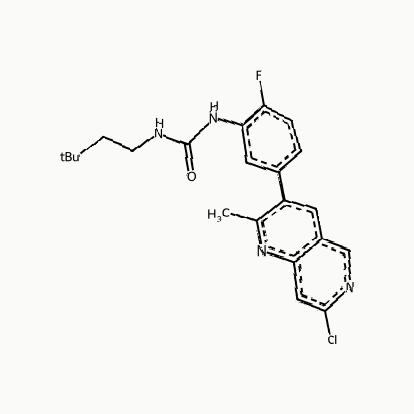 Cc1nc2cc(Cl)ncc2cc1-c1ccc(F)c(NC(=O)NCCC(C)(C)C)c1